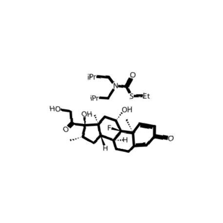 CCSC(=O)N(CC(C)C)CC(C)C.C[C@H]1C[C@H]2[C@@H]3CCC4=CC(=O)C=C[C@]4(C)[C@@]3(F)[C@@H](O)C[C@]2(C)[C@@]1(O)C(=O)CO